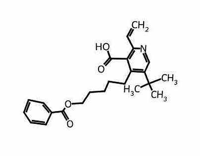 C=Cc1ncc(C(C)(C)C)c(CCCCCOC(=O)c2ccccc2)c1C(=O)O